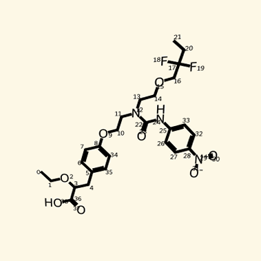 CCOC(Cc1ccc(OCCN(CCOCC(F)(F)CC)C(=O)Nc2ccc([N+](=O)[O-])cc2)cc1)C(=O)O